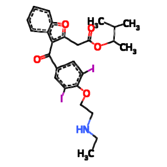 CCNCCOc1c(I)cc(C(=O)c2c(CC(=O)OC(C)C(C)C)oc3ccccc23)cc1I